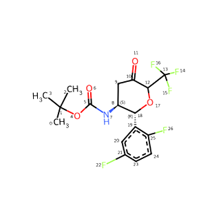 CC(C)(C)OC(=O)N[C@H]1CC(=O)C(C(F)(F)F)O[C@@H]1c1cc(F)ccc1F